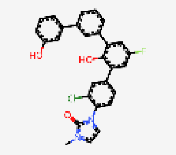 Cn1ccn(-c2ccc(-c3cc(F)cc(-c4cccc(-c5cccc(O)c5)c4)c3O)cc2Cl)c1=O